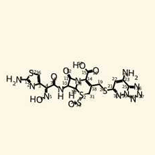 Nc1nc(C(=NO)C(=O)NC2C(=O)N3C(C(=O)O)=C(CSc4cc(N)c5nnnn5n4)C[S@@](=S=O)[C@@H]23)cs1